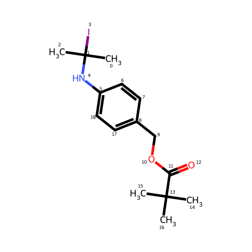 CC(C)(I)Nc1ccc(COC(=O)C(C)(C)C)cc1